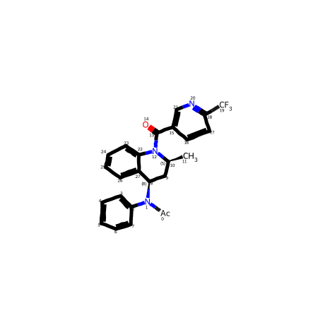 CC(=O)N(c1ccccc1)[C@@H]1C[C@H](C)N(C(=O)c2ccc(C(F)(F)F)nc2)c2ccccc21